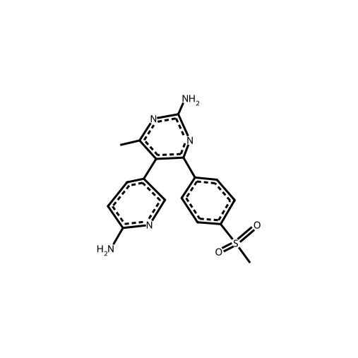 Cc1nc(N)nc(-c2ccc(S(C)(=O)=O)cc2)c1-c1ccc(N)nc1